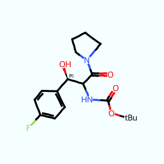 CC(C)(C)OC(=O)NC(C(=O)N1CCCC1)[C@H](O)c1ccc(F)cc1